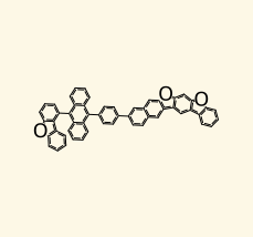 c1ccc2c(c1)oc1cc3oc4cc5cc(-c6ccc(-c7c8ccccc8c(-c8cccc9oc%10ccccc%10c89)c8ccccc78)cc6)ccc5cc4c3cc12